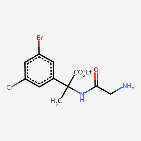 CCOC(=O)C(C)(NC(=O)CN)c1cc(Cl)cc(Br)c1